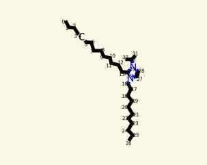 CCCCCCCCCCCCCCC1N(CCCCCCCCCCC)C=CN1C(C)C